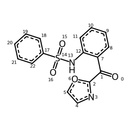 O=C(c1ncco1)c1ccccc1NS(=O)(=O)c1ccccc1